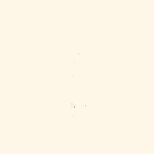 O=C(NC1(C(=O)Nc2cccc(C(F)(F)F)c2F)CC1)[C@H]1CC[C@@H]1c1nc2ccccc2[nH]1